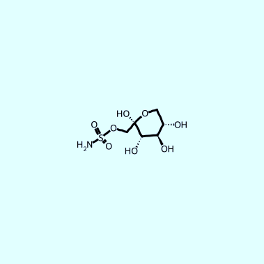 NS(=O)(=O)OC[C@@]1(O)OC[C@H](O)[C@@H](O)[C@@H]1O